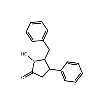 O=C1CC(c2ccccc2)C(Cc2ccccc2)N1O